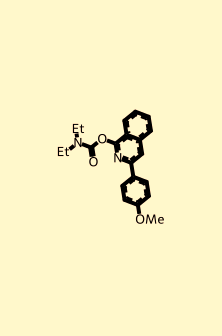 CCN(CC)C(=O)Oc1nc(-c2ccc(OC)cc2)cc2ccccc12